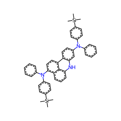 C[Si](C)(C)c1ccc(N(c2ccccc2)c2ccc3c(c2)Nc2cccc4c(N(c5ccccc5)c5ccc([Si](C)(C)C)cc5)ccc-3c24)cc1